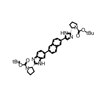 CC(C)(C)OC(=O)N1CCC[C@H]1c1ncc(-c2ccc3cc(-c4ccc5nc([C@@H]6CCCN6C(=O)OC(C)(C)C)[nH]c5c4)ccc3c2)[nH]1